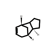 C1=C[C@H]2C[C@@H](C1)[C@@H]1CCCC12